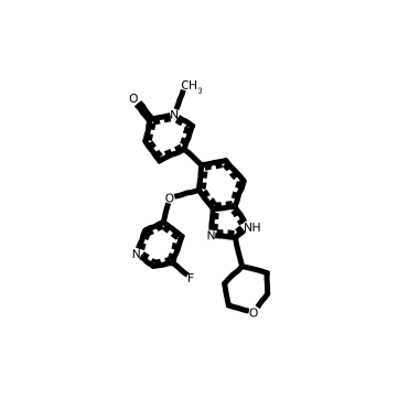 Cn1cc(-c2ccc3[nH]c(C4CCOCC4)nc3c2Oc2cncc(F)c2)ccc1=O